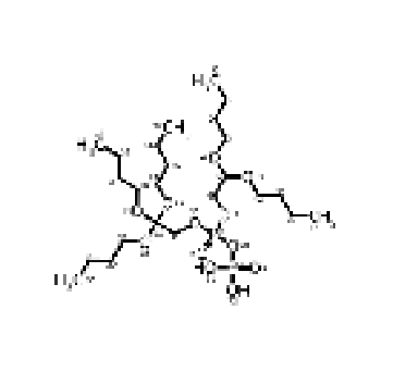 CCCCOC(COP(=O)(OCC(OCCCC)(OCCCC)OCCCC)OP(=O)(O)O)OCCCC